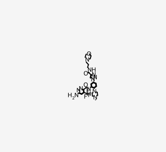 CN1CCN(c2ccc(-n3cc(C(=O)NCCCN4CCOCC4)nn3)cc2NC(=O)c2nnc(N)cc2C(F)(F)F)CC1